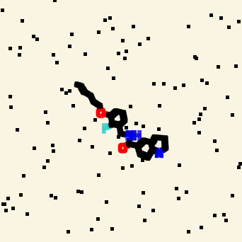 CC=CCCCOc1cccc(CNC(=O)c2ccc3ncccc3c2)c1F